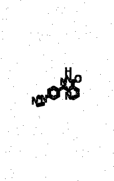 O=c1[nH]nc(-c2ccc(-n3ccnc3)cc2)c2ncccc12